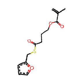 C=C(C)C(=O)OCCCC(=O)SCc1ccco1